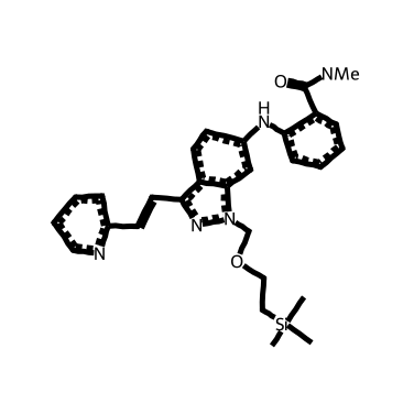 CNC(=O)c1ccccc1Nc1ccc2c(/C=C/c3ccccn3)nn(COCC[Si](C)(C)C)c2c1